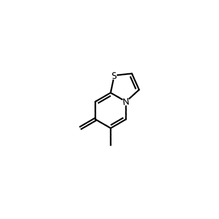 C=C1C=C2SC=CN2C=C1C